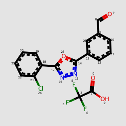 O=C(O)C(F)(F)F.O=Cc1cccc(-c2nnc(-c3ccccc3Cl)o2)c1